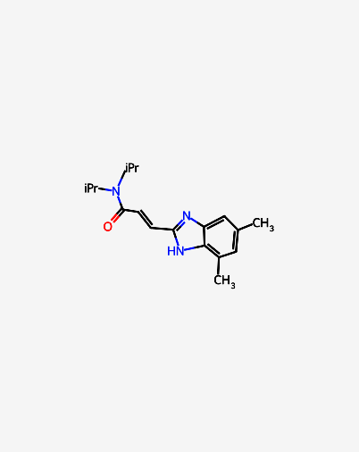 Cc1cc(C)c2[nH]c(C=CC(=O)N(C(C)C)C(C)C)nc2c1